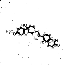 COc1ccc(C2(O)CCN(CC(O)c3ccc4c(c3F)CCC(=O)N4)CC2)cn1